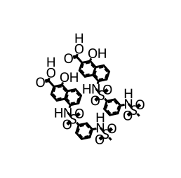 CS(=O)(=O)Nc1cccc(S(=O)(=O)Nc2cccc3c(O)c(C(=O)O)ccc23)c1.CS(=O)(=O)Nc1cccc(S(=O)(=O)Nc2cccc3c(O)c(C(=O)O)ccc23)c1